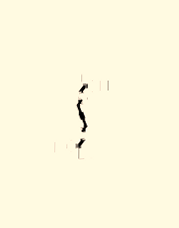 CCC(O)=COCC#CCOC=C(O)CC